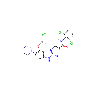 COc1cc(Nc2ncc3c(n2)SCN(c2c(Cl)cccc2Cl)C3=O)ccc1N1CCNCC1.Cl